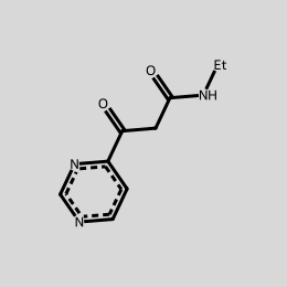 CCNC(=O)CC(=O)c1ccncn1